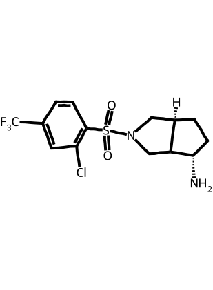 N[C@H]1CC[C@@H]2CN(S(=O)(=O)c3ccc(C(F)(F)F)cc3Cl)CC21